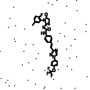 Cc1ccc(F)c(N2C(=O)CSC2=NC(=O)Nc2ccc(C=Cc3ncn(-c4ccc(OC(F)(F)F)cc4)n3)cc2)c1